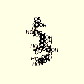 CO[C@@H]([C@@H]1Cc2cc3cc(O[C@H]4C[C@@H](O[C@H]5C[C@@H](O)[C@H](OC(C)=O)C(C)O5)[C@H](O)C(C)O4)c(C)c(O)c3c(O)c2C(=O)[C@H]1O[C@H]1C[C@@H](O[C@H]2C[C@@H](O[C@H]3C[C@](C)(O)[C@H](O)C(C)O3)[C@@H](O)C(C)O2)[C@H](O)C(C)O1)[C@@H](O)C(C)=O